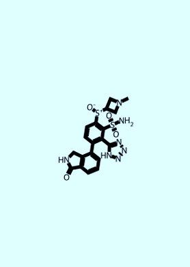 CN1CC([S+]([O-])c2ccc(-c3cccc4c3CNC4=O)c(-c3nnn[nH]3)c2S(N)(=O)=O)C1